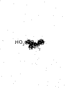 Nc1nccc2c1n(-c1ccc(Oc3ccc4c(c3)OCCO4)cc1)c(=O)n2[C@@H]1CCCN(C(=O)O)C1